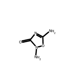 Nc1nc(=O)n(N)o1